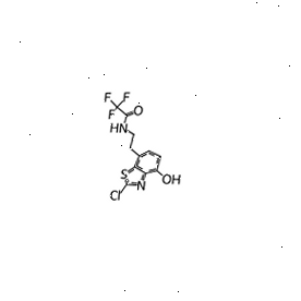 O=C(NCCc1ccc(O)c2nc(Cl)sc12)C(F)(F)F